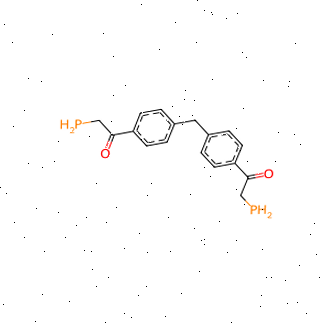 O=C(CP)c1ccc(Cc2ccc(C(=O)CP)cc2)cc1